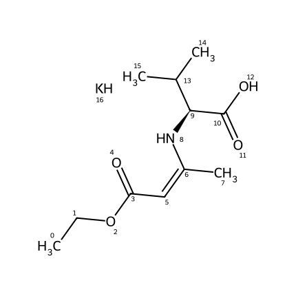 CCOC(=O)C=C(C)N[C@H](C(=O)O)C(C)C.[KH]